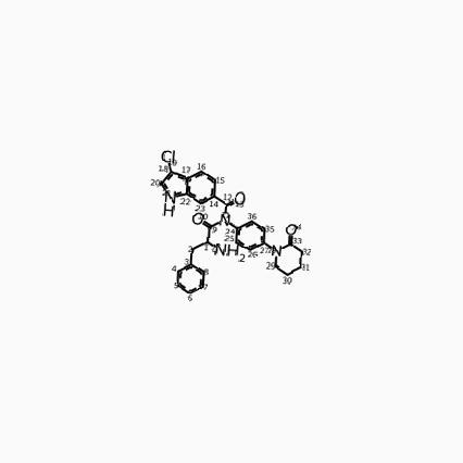 NC(Cc1ccccc1)C(=O)N(C(=O)c1ccc2c(Cl)c[nH]c2c1)c1ccc(N2CCCCC2=O)cc1